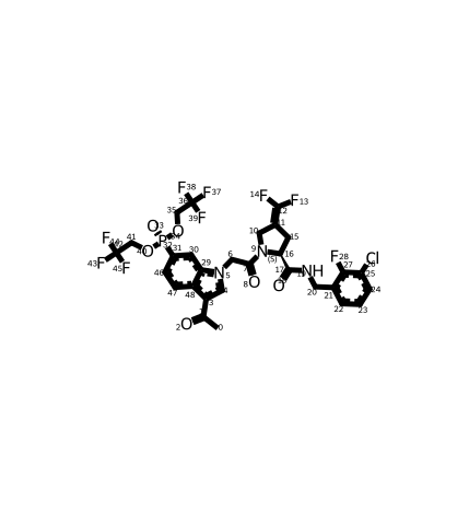 CC(=O)c1cn(CC(=O)N2CC(=C(F)F)C[C@H]2C(=O)NCc2cccc(Cl)c2F)c2cc(P(=O)(OCC(F)(F)F)OCC(F)(F)F)ccc12